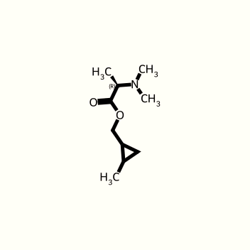 CC1CC1COC(=O)[C@@H](C)N(C)C